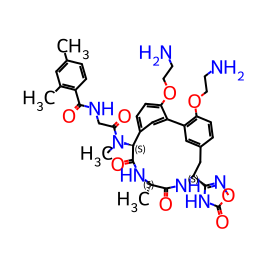 Cc1ccc(C(=O)NCC(=O)N(C)[C@@H]2C(=O)N[C@@H](C)C(=O)N[C@H](c3noc(=O)[nH]3)Cc3ccc(OCCN)c(c3)-c3cc2ccc3OCCN)c(C)c1